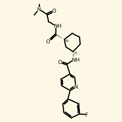 CN(C)C(=O)CNC(=O)[C@@H]1CCC[C@H](NC(=O)c2ccc(-c3cccc(F)c3)nc2)C1